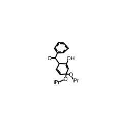 CC(C)OC1(OC(C)C)C=CC(C(=O)c2ccccc2)C(O)=C1